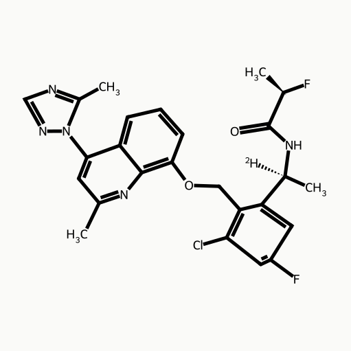 [2H][C@@](C)(NC(=O)[C@@H](C)F)c1cc(F)cc(Cl)c1COc1cccc2c(-n3ncnc3C)cc(C)nc12